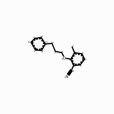 Cc1cccc(C#N)c1OCCCc1ccccc1